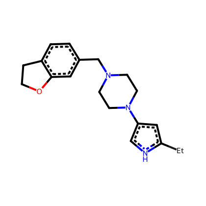 CCc1cc(N2CCN(Cc3ccc4c(c3)OCC4)CC2)c[nH]1